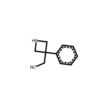 N#CCC1(c2ccccc2)CNC1